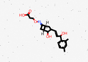 Cc1ccc(C(O)C=CC2C[C@@H]3C(=NOCCC(=O)O)C[C@H]3C2O)c(C)c1